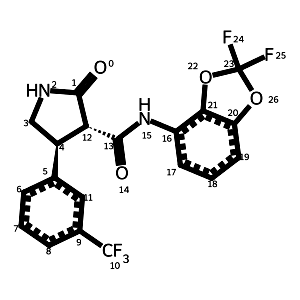 O=C1NC[C@H](c2cccc(C(F)(F)F)c2)[C@H]1C(=O)Nc1cccc2c1OC(F)(F)O2